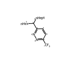 CCCCCCCC(CCCCCC)c1ccc(C(F)(F)F)nn1